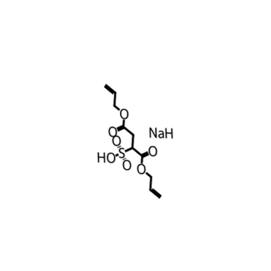 C=CCOC(=O)CC(C(=O)OCC=C)S(=O)(=O)O.[NaH]